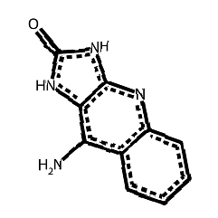 Nc1c2ccccc2nc2[nH]c(=O)[nH]c12